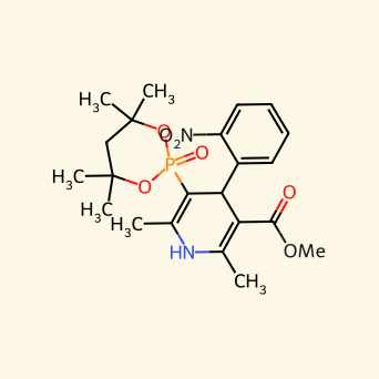 COC(=O)C1=C(C)NC(C)=C(P2(=O)OC(C)(C)CC(C)(C)O2)C1c1ccccc1[N+](=O)[O-]